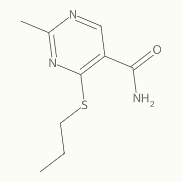 CCCSc1nc(C)ncc1C(N)=O